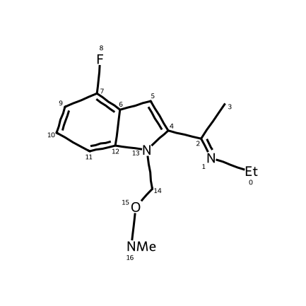 CC/N=C(\C)c1cc2c(F)cccc2n1CONC